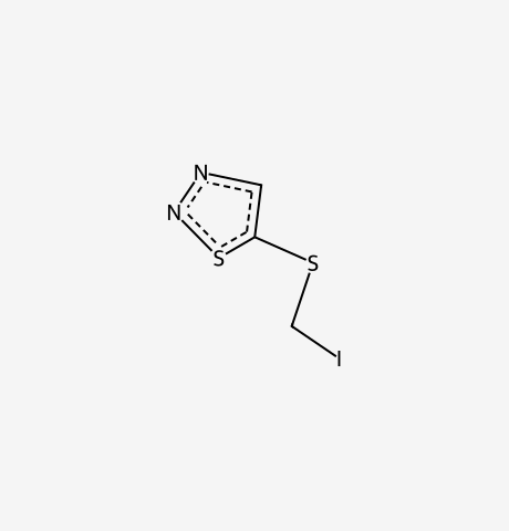 ICSc1cnns1